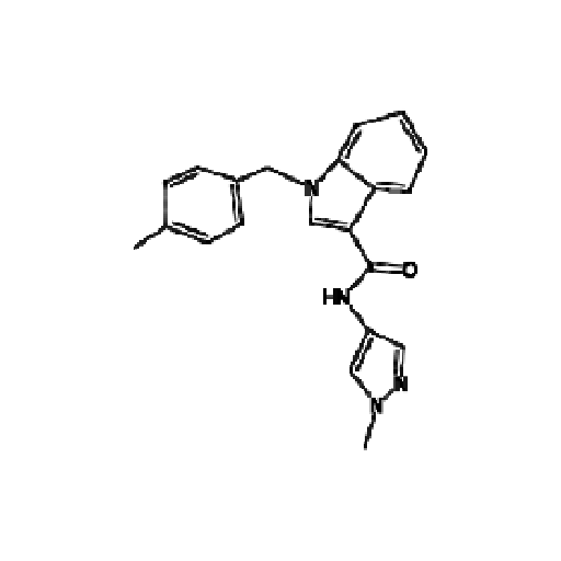 Cc1ccc(Cn2cc(C(=O)Nc3cnn(C)c3)c3ccccc32)cc1